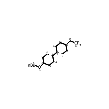 CCCCO[C@H]1CC[C@H]([C@H]2CC[C@H](CC(F)(F)F)CC2)CC1